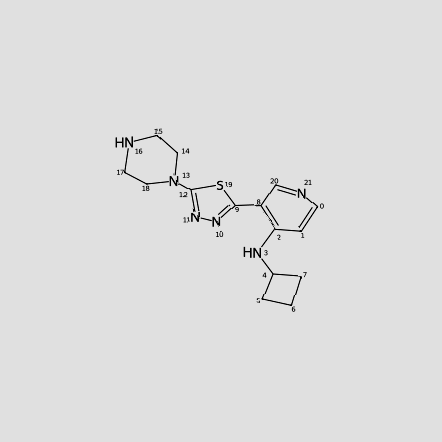 c1cc(NC2CCC2)c(-c2nnc(N3CCNCC3)s2)cn1